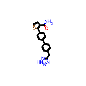 NC(=O)c1ccsc1-c1ccc(-c2ccc(Cc3nn[nH]n3)cc2)cc1